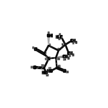 CC(C)(C)C1[C@@H](O)C(=O)N(C(=O)O)[C@]1(C)C(=O)O